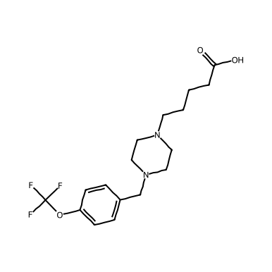 O=C(O)CCCCN1CCN(Cc2ccc(OC(F)(F)F)cc2)CC1